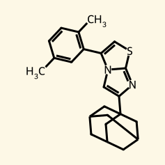 Cc1ccc(C)c(-c2csc3nc(C45CC6CC(CC(C6)C4)C5)cn23)c1